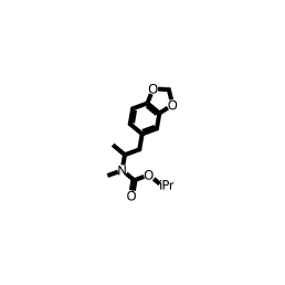 CC(C)OC(=O)N(C)C(C)Cc1ccc2c(c1)OCO2